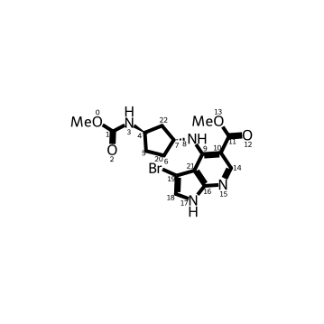 COC(=O)N[C@@H]1CC[C@@H](Nc2c(C(=O)OC)cnc3[nH]cc(Br)c23)C1